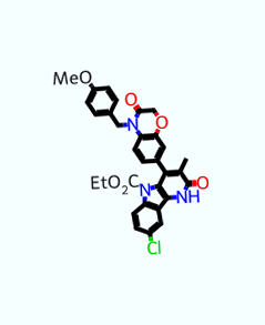 CCOC(=O)n1c2ccc(Cl)cc2c2[nH]c(=O)c(C)c(-c3ccc4c(c3)OCC(=O)N4Cc3ccc(OC)cc3)c21